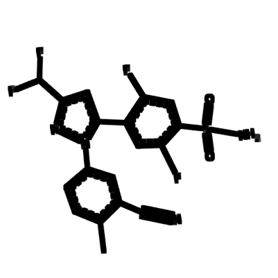 Cc1ccc(-n2nc(C(F)F)cc2-c2cc(F)c(S(N)(=O)=O)cc2F)cc1C#N